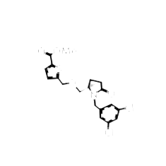 COC(=O)c1ccc(COC[C@H]2CCC(=O)N2Cc2cc(Cl)cc(Cl)c2)s1